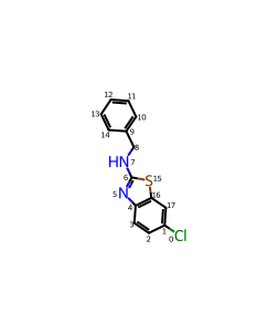 Clc1ccc2nc(NCc3ccccc3)sc2c1